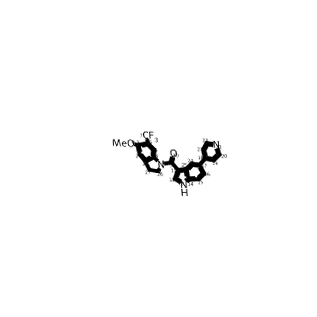 COc1cc2c(cc1C(F)(F)F)N(C(=O)c1c[nH]c3ccc(-c4ccncc4)cc13)CC2